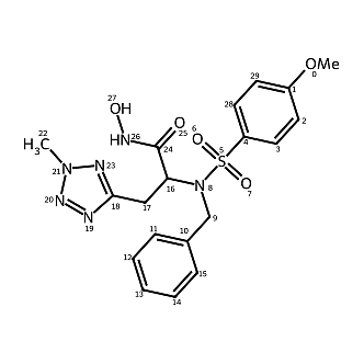 COc1ccc(S(=O)(=O)N(Cc2ccccc2)C(Cc2nnn(C)n2)C(=O)NO)cc1